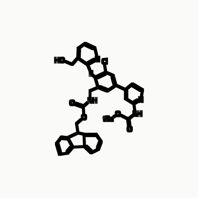 CC(C)(C)OC(=O)Nc1cc(-c2cc(Cl)c(Sc3ncccc3CO)c(CNC(=O)OCC3c4ccccc4-c4ccccc43)c2)ccn1